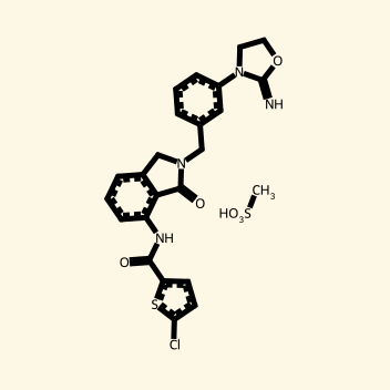 CS(=O)(=O)O.N=C1OCCN1c1cccc(CN2Cc3cccc(NC(=O)c4ccc(Cl)s4)c3C2=O)c1